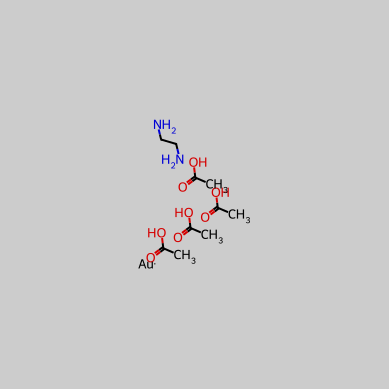 CC(=O)O.CC(=O)O.CC(=O)O.CC(=O)O.NCCN.[Au]